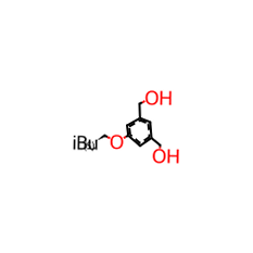 CC[C@H](C)COc1cc(CO)cc(CO)c1